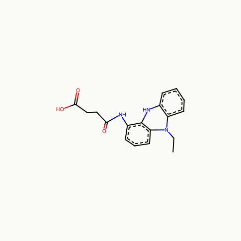 CCN1c2ccccc2Nc2c(NC(=O)CCC(=O)O)cccc21